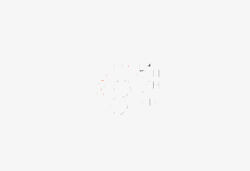 C=C(C)c1c(S(=O)(=O)O)c(S(=O)(=O)[O-])c(S(=O)(=O)[O-])c2ccccc12.[Li+].[Li+]